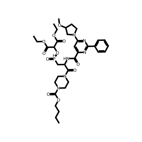 CCCCOC(=O)N1CCN(C(=O)C(C[PH](=O)OC(C(=O)OCC)C(=O)OCC)NC(=O)c2cc(N3CCC(OC)C3)nc(-c3ccccc3)n2)CC1